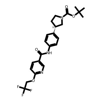 CC(C)(C)OC(=O)N1CC[C@@H](c2ccc(NC(=O)c3ccc(OCC(F)(F)F)nc3)cc2)C1